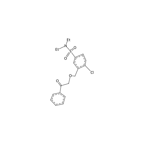 CCN(CC)S(=O)(=O)c1ccc(Cl)c(COCC(=O)c2ccccc2)c1